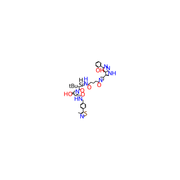 Cc1ncsc1-c1ccc(CNC(=O)[C@@H]2C[C@@H](O)CN2C(=O)C([SiH2]CNC(=O)CCCC(=O)N2CC(c3c[nH]c4nnc(-c5ccccc5O)cc34)C2)C(C)(C)C)cc1